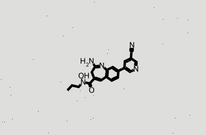 CCCN(O)C(=O)C1=Cc2ccc(-c3cncc(C#N)c3)cc2N=C(N)C1